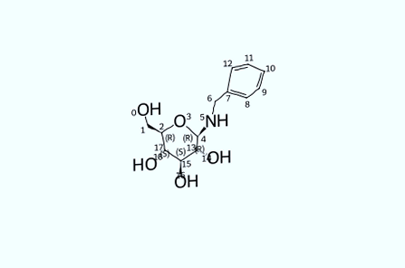 OC[C@H]1O[C@@H](NCc2ccccc2)[C@H](O)[C@@H](O)[C@@H]1O